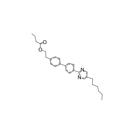 CCCCCCc1cnc(-c2ccc(-c3ccc(CCOC(=O)CCC)cc3)cc2)nc1